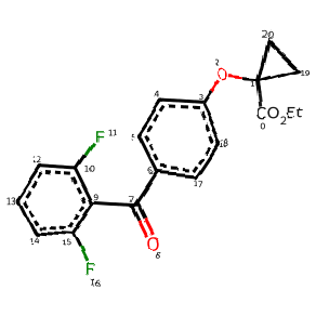 CCOC(=O)C1(Oc2ccc(C(=O)c3c(F)cccc3F)cc2)CC1